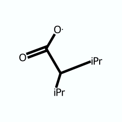 CC(C)C(C([O])=O)C(C)C